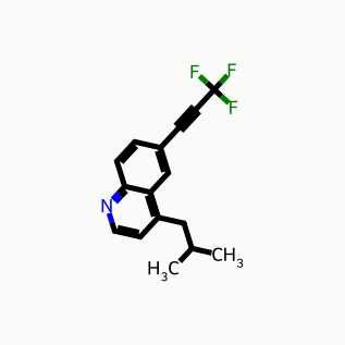 CC(C)Cc1ccnc2ccc(C#CC(F)(F)F)cc12